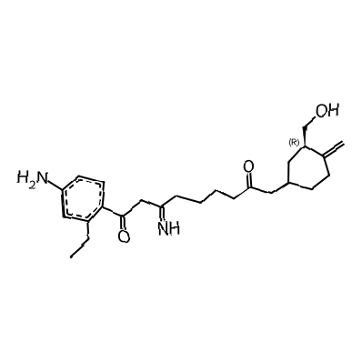 C=C1CCC(CC(=O)CCCCC(=N)CC(=O)c2ccc(N)cc2CC)C[C@H]1CO